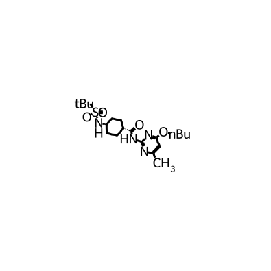 CCCCOc1cc(C)nc(NC(=O)[C@H]2CC[C@H](NS(=O)(=O)C(C)(C)C)CC2)n1